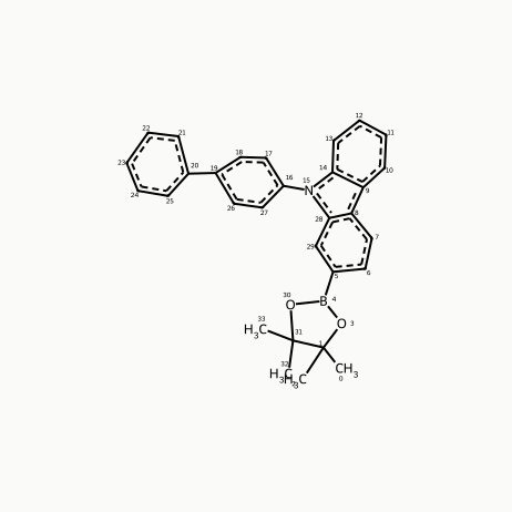 CC1(C)OB(c2ccc3c4ccccc4n(-c4ccc(-c5ccccc5)cc4)c3c2)OC1(C)C